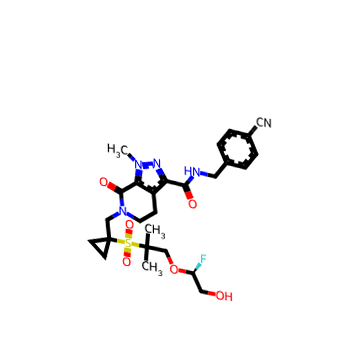 Cn1nc(C(=O)NCc2ccc(C#N)cc2)c2c1C(=O)N(CC1(S(=O)(=O)C(C)(C)CO[C@@H](F)CO)CC1)CC2